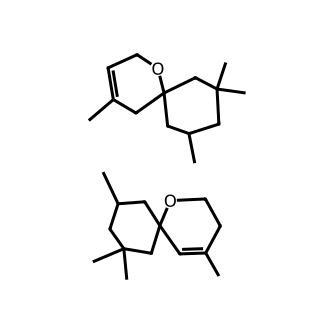 CC1=CC2(CC(C)CC(C)(C)C2)OCC1.CC1=CCOC2(C1)CC(C)CC(C)(C)C2